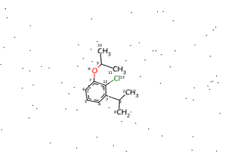 [CH2]C(C)c1cccc(OC(C)C)c1Cl